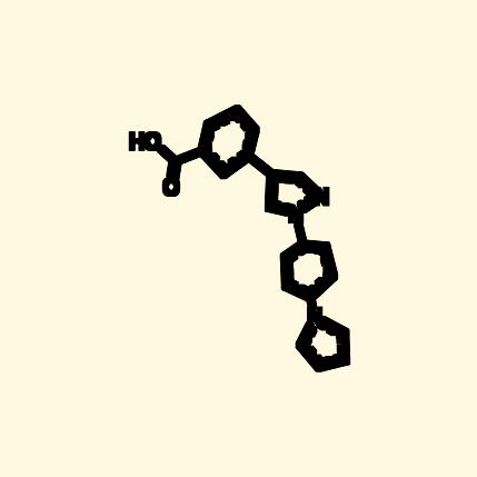 O=C(O)c1cccc(-c2cnn(-c3ccc(-n4cccc4)cc3)c2)c1